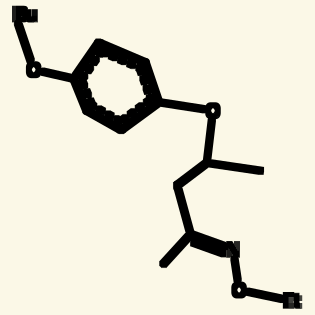 CCON=C(C)CC(C)Oc1ccc(OC(C)CC)cc1